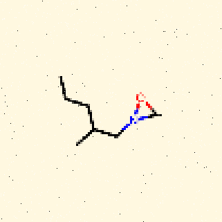 CCCC(C)CN1[CH]O1